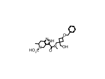 CC1Cc2n[nH]c(C(=O)N(C)CC3(CO)CC(OCc4ccccc4)C3)c2CN1C(=O)O